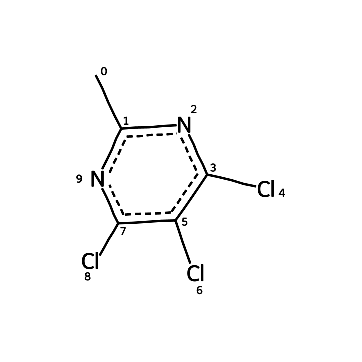 Cc1nc(Cl)c(Cl)c(Cl)n1